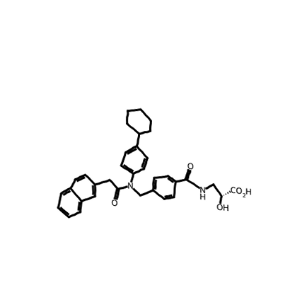 O=C(NC[C@@H](O)C(=O)O)c1ccc(CN(C(=O)Cc2ccc3ccccc3c2)c2ccc(C3CCCCC3)cc2)cc1